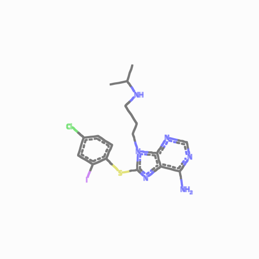 CC(C)NCCCn1c(Sc2ccc(Cl)cc2I)nc2c(N)ncnc21